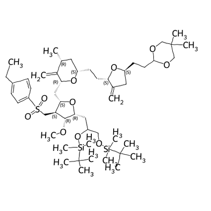 C=C1C[C@H](CCC2OCC(C)(C)CO2)O[C@H]1CC[C@H]1C[C@@H](C)C(=C)[C@@H](C[C@@H]2O[C@H](CC(CO[Si](C)(C)C(C)(C)C)O[Si](C)(C)C(C)(C)C)[C@H](OC)[C@H]2CS(=O)(=O)c2ccc(CC)cc2)O1